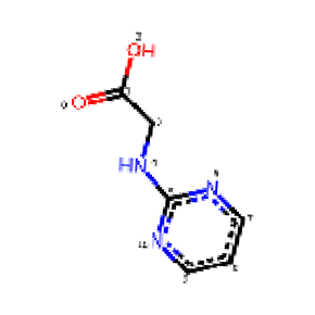 O=C(O)CNc1ncccn1